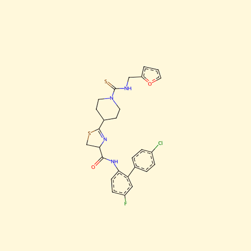 O=C(Nc1ccc(F)cc1-c1ccc(Cl)cc1)C1CSC(C2CCN(C(=S)NCc3ccco3)CC2)=N1